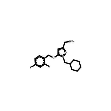 CNCc1cc(OCc2ccc(F)cc2F)n(CC2CCCCC2)n1